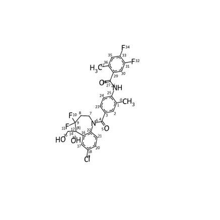 Cc1cc(C(=O)N2CCC(F)(F)[C@](O)(CO)c3cc(Cl)ccc32)ccc1NC(=O)c1cc(F)c(F)cc1C